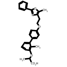 Cc1oc(-c2ccccc2)nc1CCOc1ccc(-c2cccc(OC(C)C(=O)O)c2C)cc1